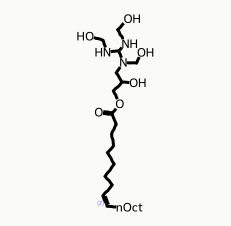 CCCCCCCC/C=C\CCCCCCCC(=O)OCC(O)CN(CO)C(NCO)NCO